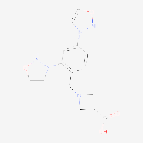 O=C(O)C1CN(Cc2ccc(N3C=CON3)cc2N2C=CON2)C1